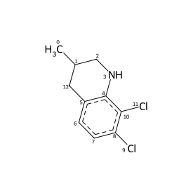 CC1CNc2c(ccc(Cl)c2Cl)C1